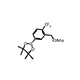 COCc1cc(B2OC(C)(C)C(C)(C)O2)ccc1C(F)(F)F